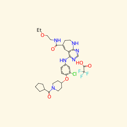 CCOCCNC(=O)C1=Cc2c(ncnc2Nc2ccc(OC3CCN(C(=O)C4CCCC4)CC3)c(Cl)c2)NCC1.O=C(O)C(F)(F)F